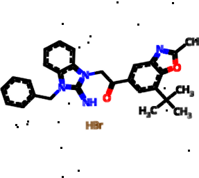 Br.Cc1nc2cc(C(=O)Cn3c(=N)n(Cc4ccccc4)c4ccccc43)cc(C(C)(C)C)c2o1